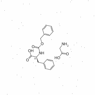 NCC(=O)O.O=C(N[C@@H](Cc1ccccc1)C(=O)O)OCc1ccccc1